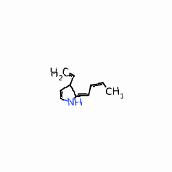 C=CC1C=CN/C1=C/C=C\C